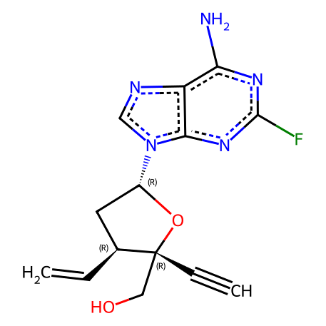 C#C[C@]1(CO)O[C@@H](n2cnc3c(N)nc(F)nc32)C[C@@H]1C=C